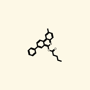 CCCCC(=O)Oc1nc2ccc(C)cc2c2ccc(-c3ccccc3)cc12